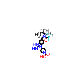 CC(N(Cc1ccc2c(c1)[nH]c(=N)n2C1CCN(C(=O)O)CC1)C(=O)C(F)(F)F)C(C)(C)C